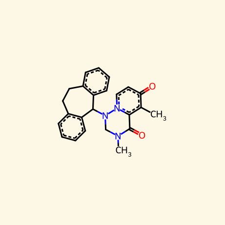 Cc1c2n(ccc1=O)N(C1c3ccccc3CCc3ccccc31)CN(C)C2=O